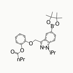 CCCC(=O)Oc1ccccc1OCc1nn(C(C)C)c2ccc(B3OC(C)(C)C(C)(C)O3)cc12